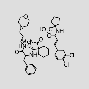 CNC(=O)C1(C(=O)NC(Cc2ccccc2)C(=O)NCCCN2CCOCC2)CCCCC1.O=C(C=Cc1ccc(Cl)c(Cl)c1)NC1(C(=O)O)CCCC1